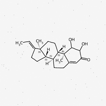 CC=C1CC[C@H]2[C@@H]3CCC4=CC(=O)C(O)C(O)[C@]4(C)[C@H]3CC[C@]12C